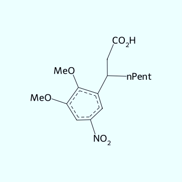 CCCCCC(CC(=O)O)c1cc([N+](=O)[O-])cc(OC)c1OC